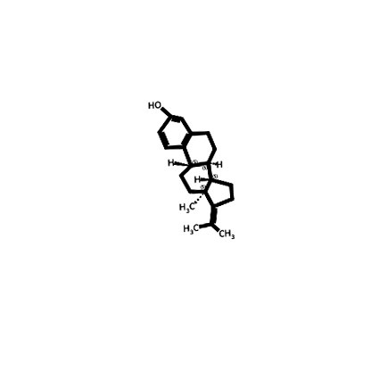 CC(C)=C1CC[C@H]2[C@@H]3CCc4cc(O)ccc4[C@H]3CC[C@]12C